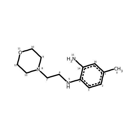 Cc1ccc(NCCN2CCOCC2)c(N)c1